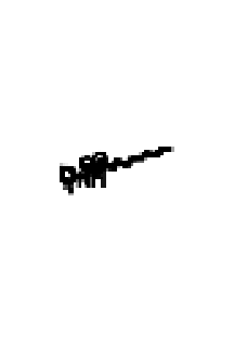 CCCCCCCCCC(=O)CC(=O)NC1CCC[C@@H]1C